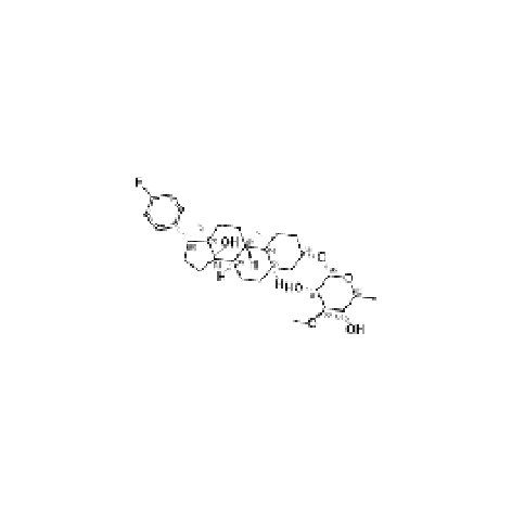 CO[C@H]1[C@H](O)[C@H](O[C@H]2CC[C@@]3(C)[C@H](CC[C@@H]4[C@@H]3CC[C@]3(C)[C@@H](c5ccc(F)cc5)CC[C@]43O)C2)O[C@@H](C)[C@@H]1O